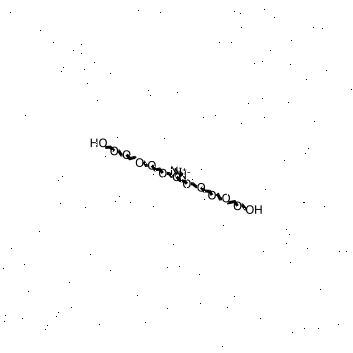 OCCOCCOCCOCCOCCOCCOCCOCCOCCOCCOCCOCCO.[N-]=[N+]=[N-]